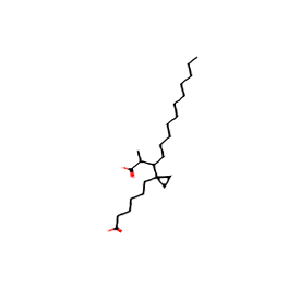 CCCCCCCCCCCC(C(C)C(=O)O)C1(CCCCCC(=O)O)CC1